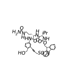 CC(C)[C@H](NC(=O)OCC1c2ccccc2-c2ccccc21)C(=O)N[C@@H](CCCNC(N)=O)C(=O)Nc1ccc(CO)c(C#CCS(=O)(=O)O)c1